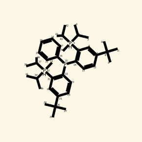 CC(C)[PH](C)(c1cc(C(C)(C)C)ccc1P(c1ccccc1)c1ccc(C(C)(C)C)cc1[PH](C)(C(C)C)C(C)C)C(C)C